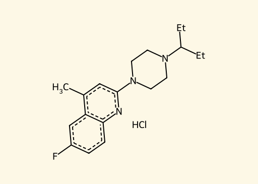 CCC(CC)N1CCN(c2cc(C)c3cc(F)ccc3n2)CC1.Cl